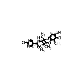 Cc1c(OC2C(C)(C)C(NC(=O)c3cnc(Cl)nc3)C2(C)C)ccc(C#N)c1Cl